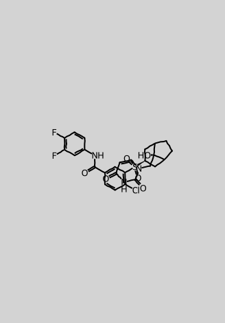 O=C(Nc1ccc(F)c(F)c1)c1ccc(Cl)c(S(=O)(=O)[C@H]2CC3CCC(C2)[C@]3(O)Cn2ccc(=O)[nH]c2=O)c1